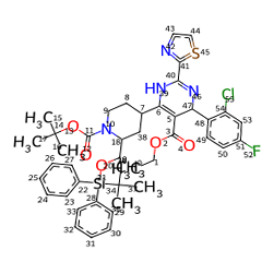 CCOC(=O)C1=C(C2CCN(C(=O)OC(C)(C)C)C(CO[Si](c3ccccc3)(c3ccccc3)C(C)(C)C)C2)NC(c2nccs2)=NC1c1ccc(F)cc1Cl